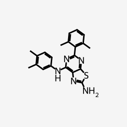 Cc1ccc(Nc2nc(-c3c(C)cccc3C)nc3sc(N)nc23)cc1C